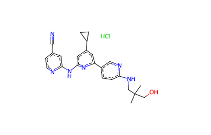 CC(C)(CO)CNc1ccc(-c2cc(C3CC3)cc(Nc3cc(C#N)ccn3)n2)cn1.Cl